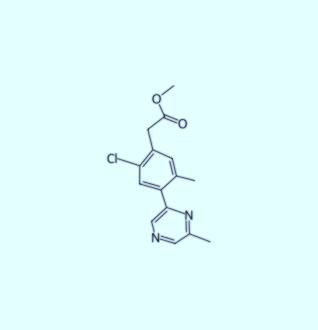 COC(=O)Cc1cc(C)c(-c2cncc(C)n2)cc1Cl